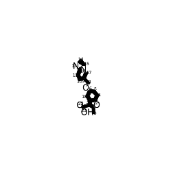 Cc1oc2ccc(OCc3ccc4nccn4c3)cc2c1C(=O)O